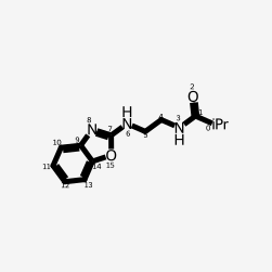 CC(C)C(=O)NCCNc1nc2ccccc2o1